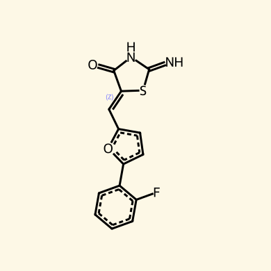 N=C1NC(=O)/C(=C/c2ccc(-c3ccccc3F)o2)S1